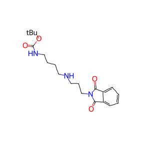 CC(C)(C)OC(=O)NCCCCNCCCN1C(=O)c2ccccc2C1=O